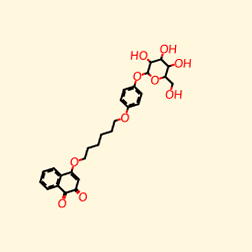 O=C1C=C(OCCCCCCOc2ccc(OC3OC(CO)C(O)C(O)C3O)cc2)c2ccccc2C1=O